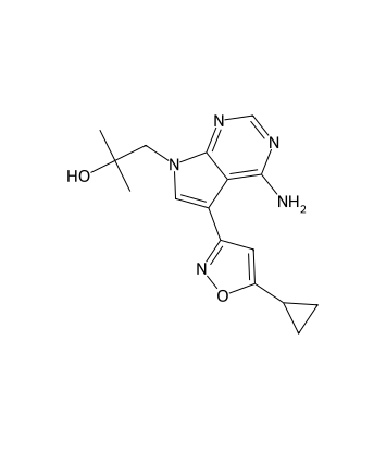 CC(C)(O)Cn1cc(-c2cc(C3CC3)on2)c2c(N)ncnc21